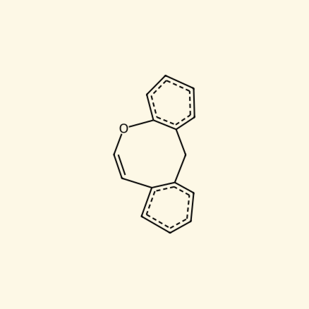 C1=Cc2ccccc2Cc2ccccc2O1